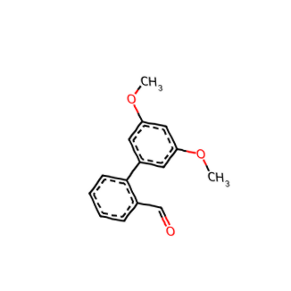 COc1cc(OC)cc(-c2ccccc2C=O)c1